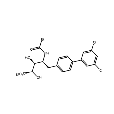 CCOC(=O)[C@H](O)[C@@H](O)[C@H](Cc1ccc(-c2cc(Cl)cc(Cl)c2)cc1)NC(=O)CC